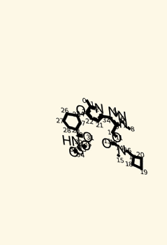 Cc1nc(-c2nnn(C)c2COC(=O)N(C)CC2CCC2)ccc1O[C@H]1CCC[C@H](C(=O)NS(C)(=O)=O)C1